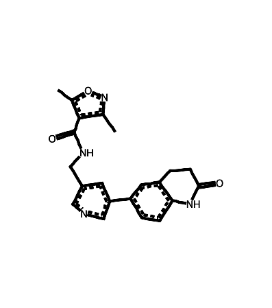 Cc1noc(C)c1C(=O)NCc1cncc(-c2ccc3c(c2)CCC(=O)N3)c1